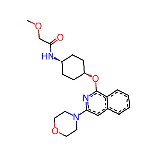 COCC(=O)N[C@H]1CC[C@@H](Oc2nc(N3CCOCC3)cc3ccccc23)CC1